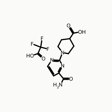 NC(=O)c1ccnc(N2CCC(C(=O)O)CC2)n1.O=C(O)C(F)(F)F